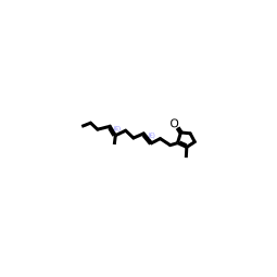 CCC/C=C(\C)CC/C=C/CCC1=C(C)CCC1=O